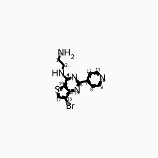 NCCNc1nc(-c2ccncc2)nc2c(Br)csc12